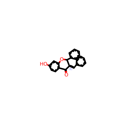 O=C1/C(=C/c2ccccc2)C(c2ccccc2)Oc2cc(O)ccc21